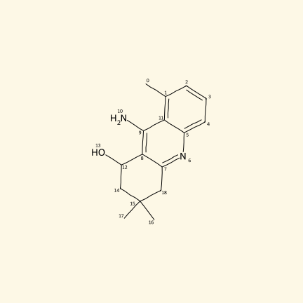 Cc1cccc2nc3c(c(N)c12)C(O)CC(C)(C)C3